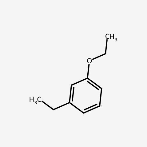 CCOc1c[c]cc(CC)c1